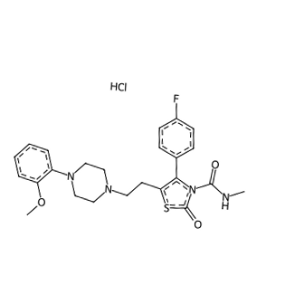 CNC(=O)n1c(-c2ccc(F)cc2)c(CCN2CCN(c3ccccc3OC)CC2)sc1=O.Cl